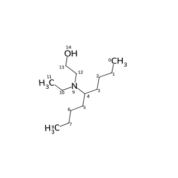 CCCCC(CCCC)N(CC)CCO